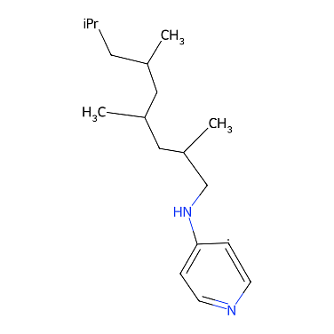 CC(C)CC(C)CC(C)CC(C)CNc1[c]cncc1